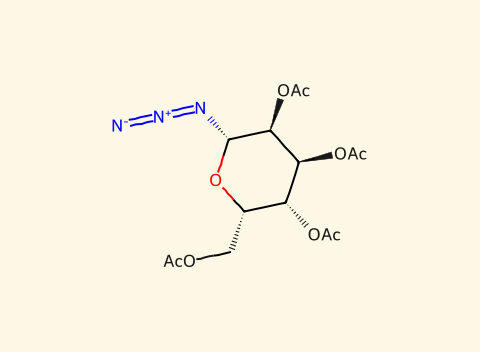 CC(=O)OC[C@@H]1O[C@H](N=[N+]=[N-])[C@@H](OC(C)=O)[C@@H](OC(C)=O)[C@@H]1OC(C)=O